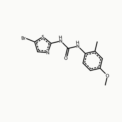 COc1ccc(NC(=O)Nc2ncc(Br)s2)c(C)c1